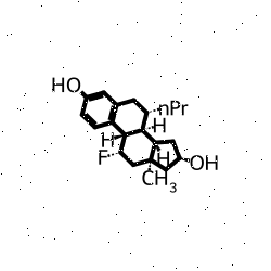 CCC[C@H]1Cc2cc(O)ccc2[C@@H]2[C@@H]1[C@@H]1C[C@@H](O)C[C@@]1(C)C[C@@H]2F